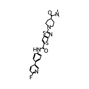 CN(C)C(=O)C1CCN(c2nc3sc(C(=O)Nc4ccc(-c5ccc(F)nc5)cc4)cc3s2)CC1